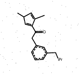 CC1=CC(C)C=C1C(=O)Cc1cccc(CC(C)C)c1